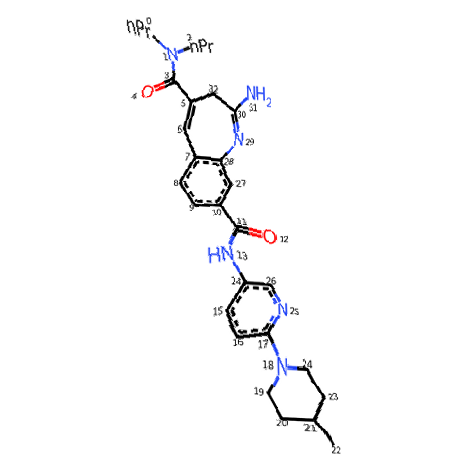 CCCN(CCC)C(=O)C1=Cc2ccc(C(=O)Nc3ccc(N4CCC(C)CC4)nc3)cc2N=C(N)C1